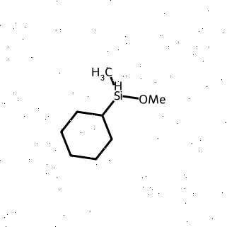 CO[SiH](C)C1CCCCC1